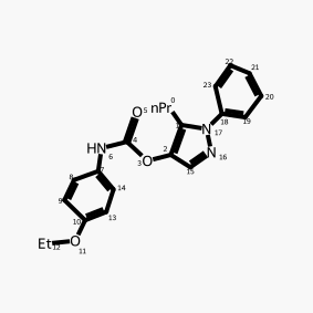 CCCc1c(OC(=O)Nc2ccc(OCC)cc2)cnn1-c1ccccc1